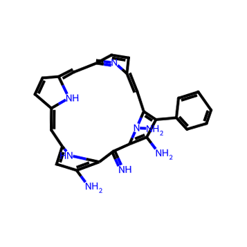 N=c1c2[nH]c(cc2N)cc2ccc(cc3nc(cc4c(-c5ccccc5)c(N)c1n4N)C=C3)[nH]2